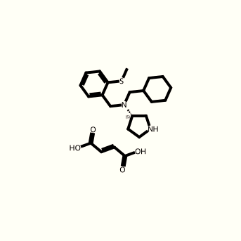 CSc1ccccc1CN(CC1CCCCC1)[C@H]1CCNC1.O=C(O)C=CC(=O)O